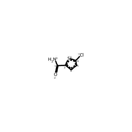 NC(=O)c1[c]cc(Cl)s1